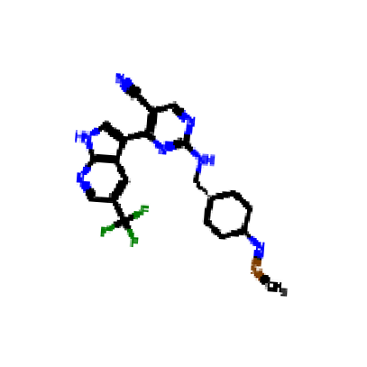 C=S=N[C@H]1CC[C@H](CNc2ncc(C#N)c(-c3c[nH]c4ncc(C(F)(F)F)cc34)n2)CC1